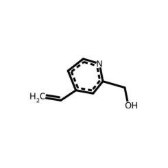 C=Cc1ccnc(CO)c1